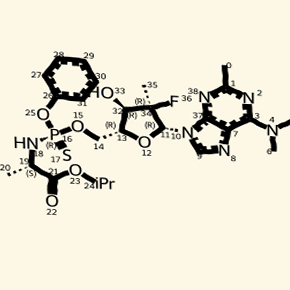 Cc1nc(N(C)C)c2ncn([C@@H]3O[C@H](CO[P@](=S)(N[C@@H](C)C(=O)OC(C)C)Oc4ccccc4)[C@@H](O)[C@@]3(C)F)c2n1